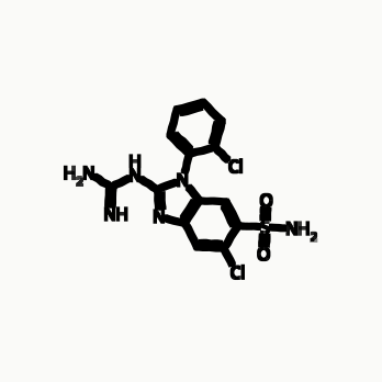 N=C(N)Nc1nc2cc(Cl)c(S(N)(=O)=O)cc2n1-c1ccccc1Cl